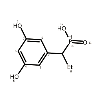 CCC(c1cc(O)cc(O)c1)[PH](=O)O